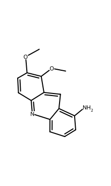 COc1ccc2nc3cccc(N)c3cc2c1OC